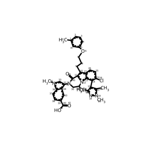 Cc1cccc(OCCCc2c3n(c4c(-c5c(C)nn(C)c5C)c(Cl)ccc24)C(C)CN(c2cn(C)c4ccc(C(=O)O)cc24)C3=O)c1